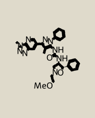 COCCN1C[C@@H](NC(=O)Nc2c(C)c(-c3cnc4c(c3)nnn4C)nn2-c2ccccc2)[C@H](c2ccccc2)O1